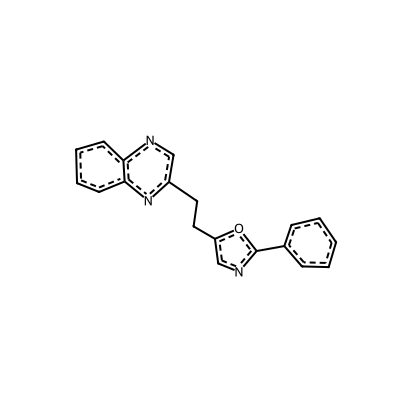 c1ccc(-c2ncc(CCc3cnc4ccccc4n3)o2)cc1